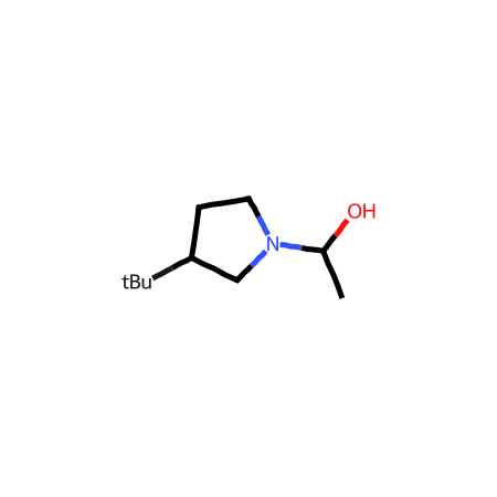 CC(O)N1CCC(C(C)(C)C)C1